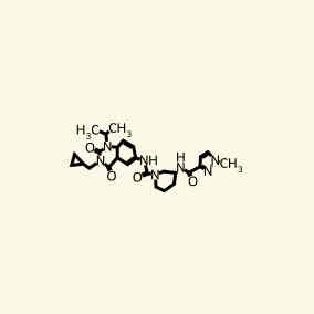 CC(C)N1C(=O)N(CC2CC2)C(=O)C2C=C(NC(=O)N3CCCC(NC(=O)c4ccn(C)n4)C3)C=CC21